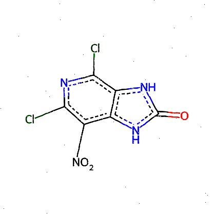 O=c1[nH]c2c(Cl)nc(Cl)c([N+](=O)[O-])c2[nH]1